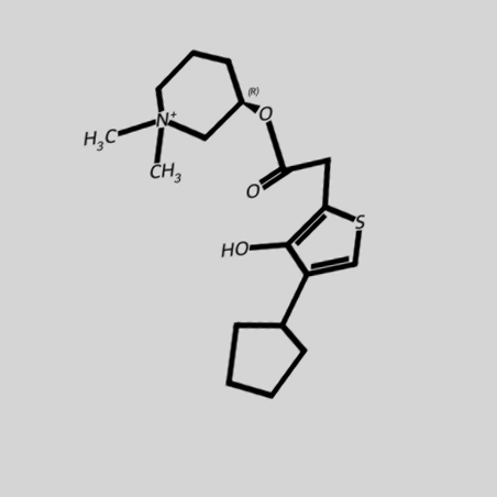 C[N+]1(C)CCC[C@@H](OC(=O)Cc2scc(C3CCCC3)c2O)C1